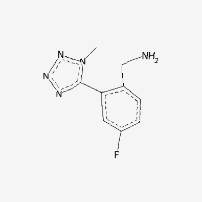 Cn1nnnc1-c1cc(F)ccc1CN